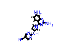 N#Cc1cnc(N[C@@H]2CCN(c3nc(N)nc4cc(N)ccc34)C2)nc1